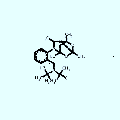 CC12CC3(C)OC(C)(CC(C)(O1)P3c1ccccc1CP(C(C)(C)C)C(C)(C)C)O2